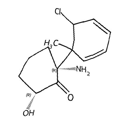 CC1([C@]2(N)CCC[C@@H](O)C2=O)C=CC=CC1Cl